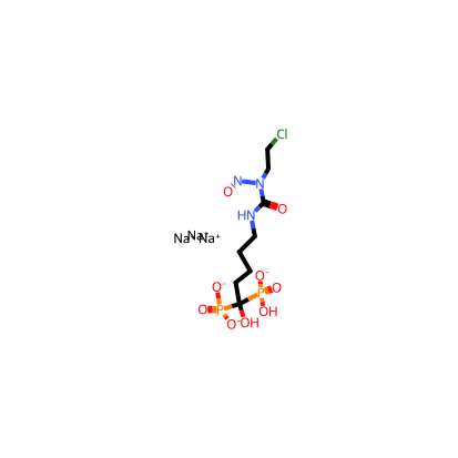 O=NN(CCCl)C(=O)NCCCCC(O)(P(=O)([O-])[O-])P(=O)([O-])O.[Na+].[Na+].[Na+]